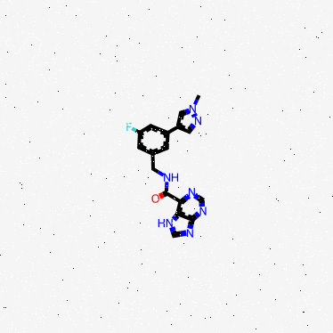 Cn1cc(-c2cc(F)cc(CNC(=O)c3ncnc4nc[nH]c34)c2)cn1